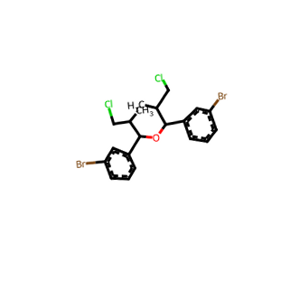 CC(CCl)C(OC(c1cccc(Br)c1)C(C)CCl)c1cccc(Br)c1